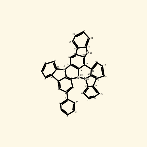 c1ccc(-c2cc3c4c(c2)c2ccccc2n4-c2cc4c(oc5ccccc54)c4c2B3n2c3ccccc3c3cccc-4c32)cc1